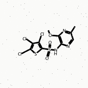 COc1nc(C)cnc1NS(=O)(=O)c1sc(Cl)c(Cl)c1Cl